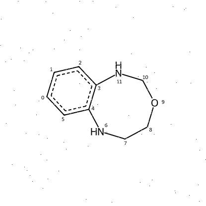 c1ccc2c(c1)NCCOCN2